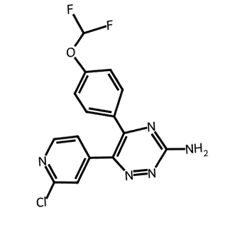 Nc1nnc(-c2ccnc(Cl)c2)c(-c2ccc(OC(F)F)cc2)n1